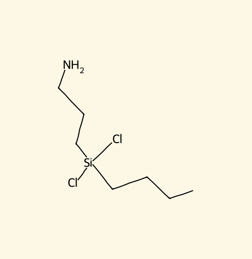 CCCC[Si](Cl)(Cl)CCCN